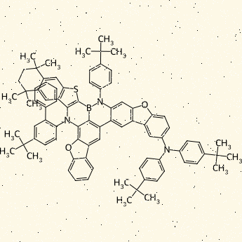 CC(C)(C)c1ccc(N2B3c4sc5cc6c(cc5c4N(c4ccc(C(C)(C)C)cc4-c4ccccc4)c4c3c(cc3c4oc4ccccc43)-c3cc4c(cc32)oc2ccc(N(c3ccc(C(C)(C)C)cc3)c3ccc(C(C)(C)C)cc3)cc24)C(C)(C)CCC6(C)C)cc1